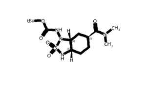 CN(C)C(=O)[C@H]1CC[C@@H]2NS(=O)(=O)N(NC(=O)OC(C)(C)C)[C@@H]2C1